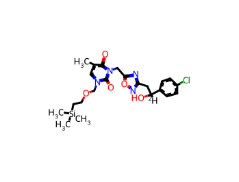 [2H]C(O)(Cc1noc(Cn2c(=O)c(C)cn(COCC[Si](C)(C)C)c2=O)n1)c1ccc(Cl)cc1